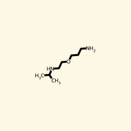 CC(C)NCCOCCCN